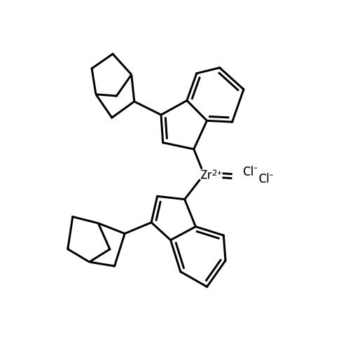 [CH2]=[Zr+2]([CH]1C=C(C2CC3CCC2C3)c2ccccc21)[CH]1C=C(C2CC3CCC2C3)c2ccccc21.[Cl-].[Cl-]